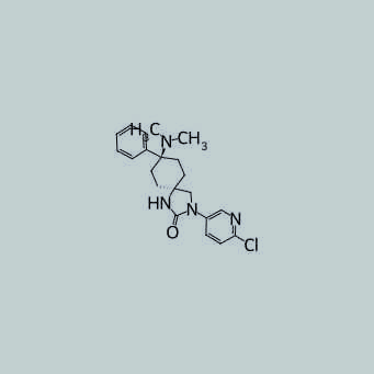 CN(C)[C@]1(c2ccccc2)CC[C@]2(CC1)CN(c1ccc(Cl)nc1)C(=O)N2